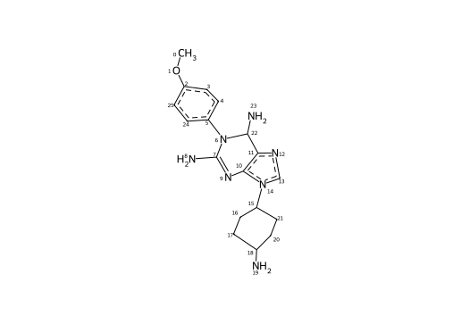 COc1ccc(N2C(N)=Nc3c(ncn3C3CCC(N)CC3)C2N)cc1